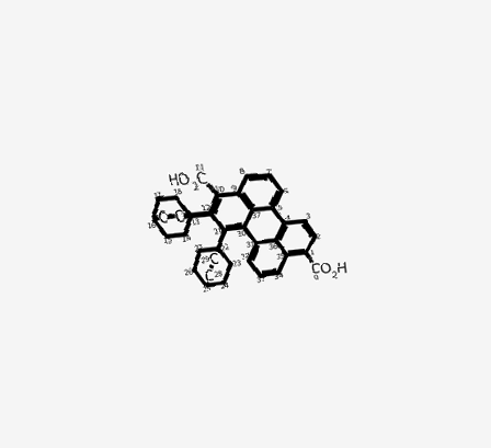 O=C(O)c1ccc2c3cccc4c(C(=O)O)c(C56CCC(CC5)CC6)c(C56CCC(CC5)CC6)c(c5cccc1c25)c43